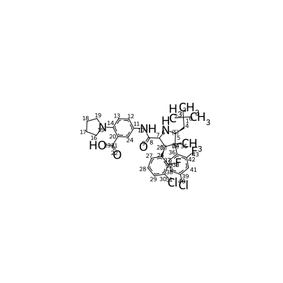 CC(C)(C)C[C@@H]1NC(C(=O)Nc2ccc(N3CCCC3)c(C(=O)O)c2)[C@H](c2cccc(Cl)c2F)[C@@]1(C)c1ccc(Cl)cc1F